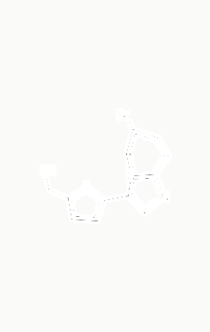 SCc1ccc(-c2cnc3ccc(Br)cn23)s1